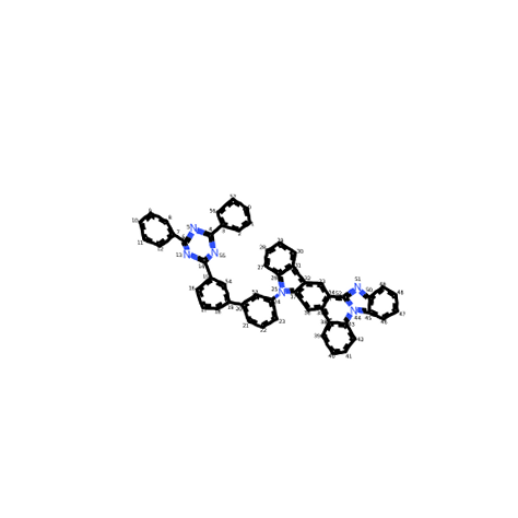 c1ccc(-c2nc(-c3ccccc3)nc(-c3cccc(-c4cccc(-n5c6ccccc6c6cc7c(cc65)c5ccccc5n5c6ccccc6nc75)c4)c3)n2)cc1